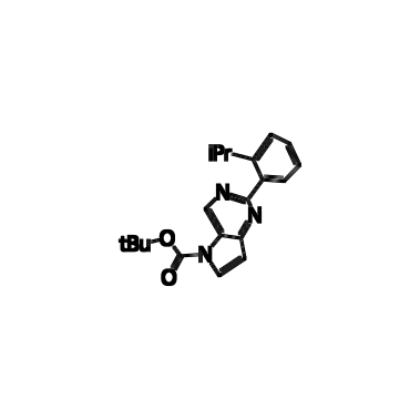 CC(C)c1ccccc1-c1ncc2c(ccn2C(=O)OC(C)(C)C)n1